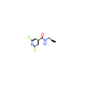 C#CCNC(=O)c1cc(F)nc(F)c1